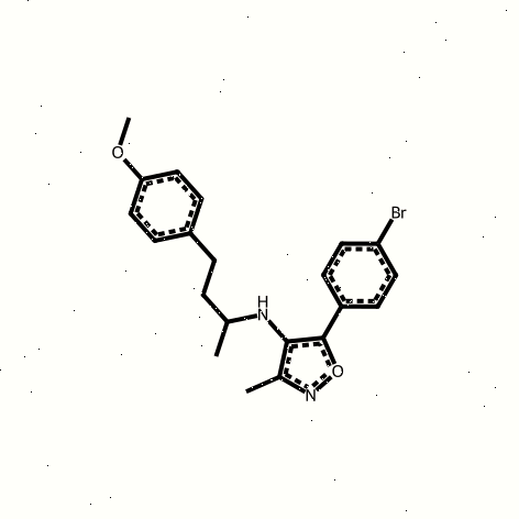 COc1ccc(CCC(C)Nc2c(C)noc2-c2ccc(Br)cc2)cc1